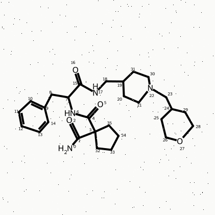 NC(=O)C1(C(=O)NC(Cc2ccccc2)C(=O)NCC2CCN(CC3CCOCC3)CC2)CCCC1